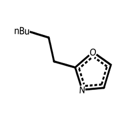 [CH2]CCCCCc1ncco1